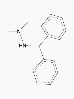 CN(C)NC(c1ccccc1)c1ccccc1